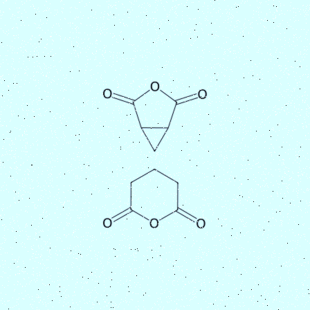 O=C1CCCC(=O)O1.O=C1OC(=O)C2CC12